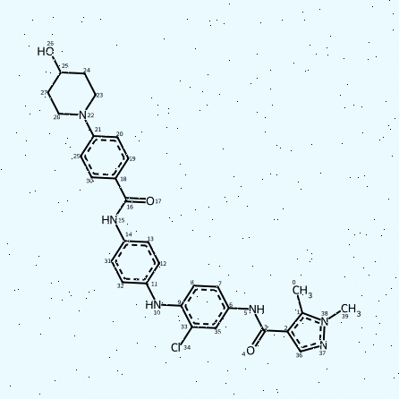 Cc1c(C(=O)Nc2ccc(Nc3ccc(NC(=O)c4ccc(N5CCC(O)CC5)cc4)cc3)c(Cl)c2)cnn1C